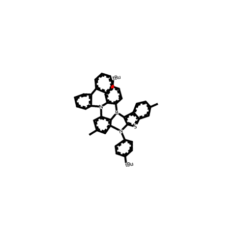 Cc1cc2c3c(c1)N(c1ccc(C(C)(C)C)cc1)c1sc4cc(C)ccc4c1B3c1ccc(C(C)(C)C)cc1N2c1ccccc1-c1ccccc1